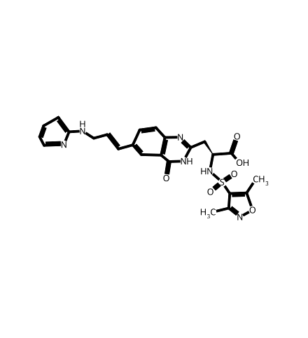 Cc1noc(C)c1S(=O)(=O)N[C@@H](Cc1nc2ccc(C=CCNc3ccccn3)cc2c(=O)[nH]1)C(=O)O